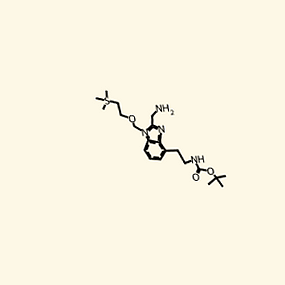 CC(C)(C)OC(=O)NCCc1cccc2c1nc(CN)n2COCCS(C)(C)C